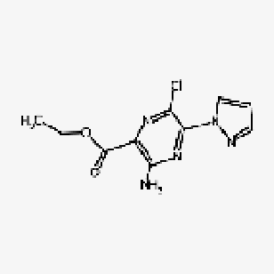 CCOC(=O)c1nc(Cl)c(-n2cccn2)nc1N